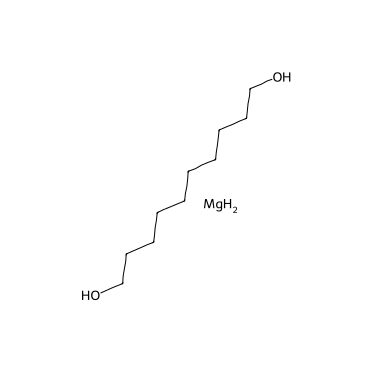 OCCCCCCCCCCO.[MgH2]